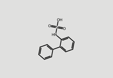 O=S(=O)(O)Nc1ccccc1-c1ccccc1